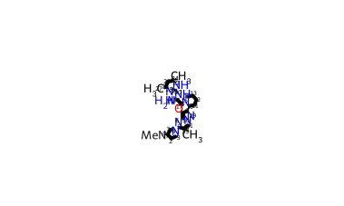 CN[C@H]1CCN(c2nc3cc([C@@H]4CCCCN4C(=O)C(N)NC4NC(C)CC(C)N4)nn3cc2C)C1